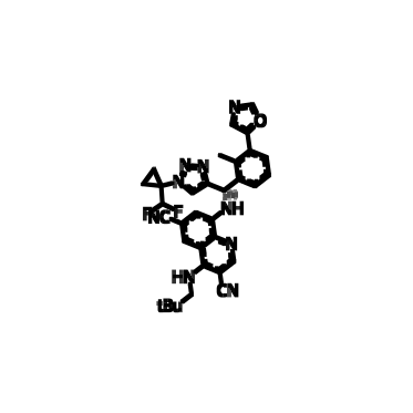 Cc1c(-c2cnco2)cccc1[C@H](Nc1cc(C#N)cc2c(NCC(C)(C)C)c(C#N)cnc12)c1cn(C2(C(F)F)CC2)nn1